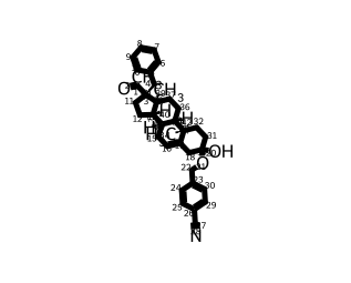 CC(=O)[C@@]1(Cc2ccccc2)CC[C@H]2[C@@H]3CC=C4CC(O)(OCc5ccc(C#N)cc5)CC[C@]4(C)[C@H]3CC[C@@]21C